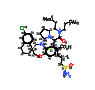 COCCN(CCOC)C(=O)C(/C(F)=C/C[C@H](C)C[S+](N)[O-])N1CCC[C@H]1N1C[C@@]2(CCCc3cc(Cl)ccc32)COc2ccc(C(=O)O)cc21